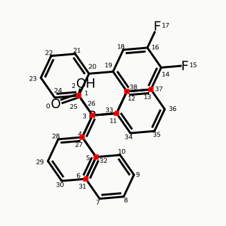 O=C(O)/C(=C/c1ccccc1)Cc1cc(F)c(F)cc1-c1ccccc1P(c1ccccc1)c1ccccc1